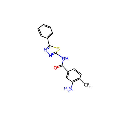 Nc1cc(C(=O)Nc2nnc(-c3ccccc3)s2)ccc1C(F)(F)F